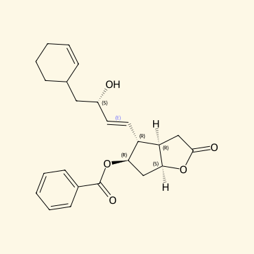 O=C1C[C@@H]2[C@@H](/C=C/[C@@H](O)CC3C=CCCC3)[C@H](OC(=O)c3ccccc3)C[C@@H]2O1